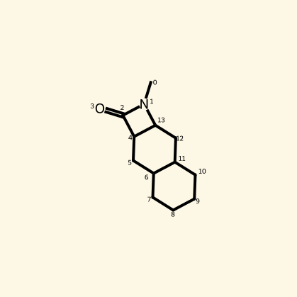 CN1C(=O)C2CC3CCCCC3CC21